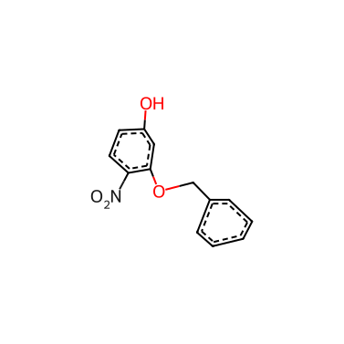 O=[N+]([O-])c1ccc(O)cc1OCc1ccccc1